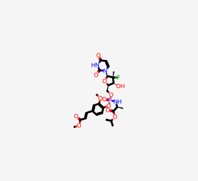 COC(=O)/C=C/c1ccc(OP(=O)(N[C@@H](C)C(=O)OC(C)C)OC[C@H]2O[C@@H](n3ccc(=O)[nH]c3=O)[C@](C)(F)[C@@H]2O)c(OC)c1